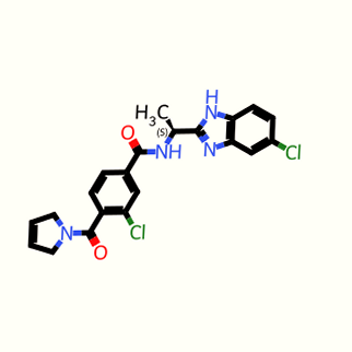 C[C@H](NC(=O)c1ccc(C(=O)N2CC=CC2)c(Cl)c1)c1nc2cc(Cl)ccc2[nH]1